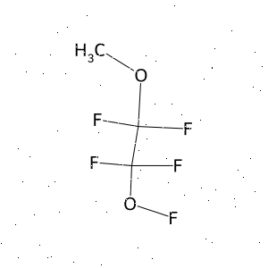 COC(F)(F)C(F)(F)OF